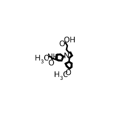 CNC(=O)c1ccc(-n2c(CCC(=O)O)ccc2-c2ccc(OC)cc2)cc1